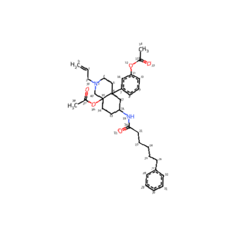 C=CCN1CCC2(c3cccc(OC(C)=O)c3)CC(NC(=O)CCCCCc3ccccc3)CCC2(OC(C)=O)C1